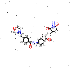 O=C1CCC(CCC2Cc3cc(CNC(=O)c4ccc(CCN5CCOCC5)cc4)ccc3C2=O)C(=O)N1